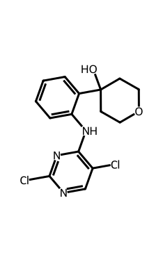 OC1(c2ccccc2Nc2nc(Cl)ncc2Cl)CCOCC1